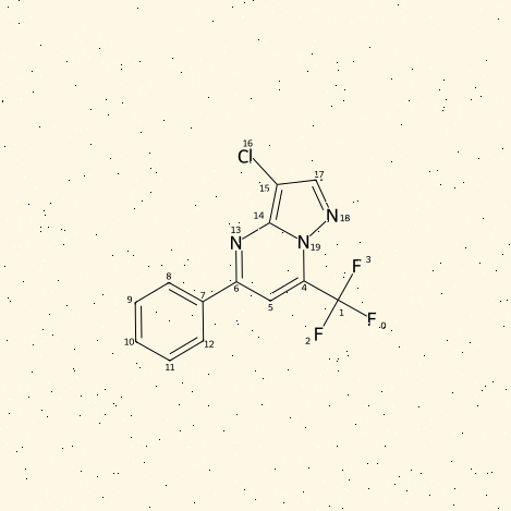 FC(F)(F)c1cc(-c2ccccc2)nc2c(Cl)[c]nn12